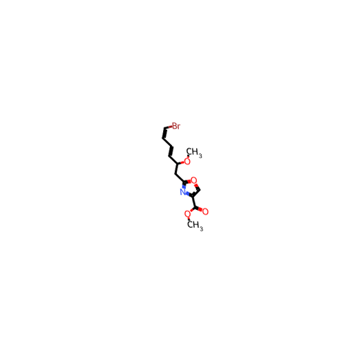 COC(=O)c1coc(CC(/C=C/C=C\Br)OC)n1